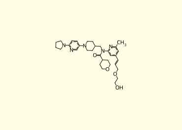 Cc1cc(/C=C/COCCO)cc(N(CC2CCN(c3ccc(N4CCCC4)nc3)CC2)C(=O)C2CCOCC2)n1